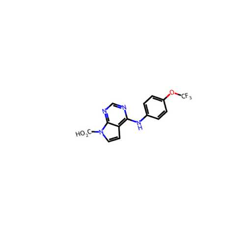 O=C(O)n1ccc2c(Nc3ccc(OC(F)(F)F)cc3)ncnc21